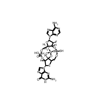 CC(C)(C)[Si](C)(C)O[C@H]1[C@H]2OP(=O)(O)OC[C@H]3O[C@@H](n4cnc5c(N)ncnc54)[C@@H](F)[C@@H]3OP(S)OC[C@H]1S[C@H]2n1cnc2c(=O)[nH]c(N)nc21